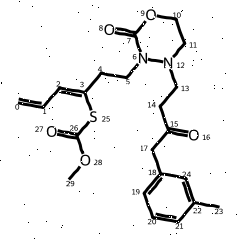 C=C/C=C(/CCN1C(=O)OCCN1CCC(=O)Cc1cccc(C)c1)SC(=O)OC